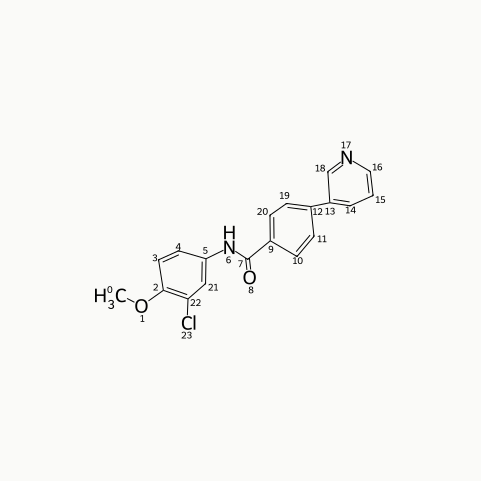 COc1ccc(NC(=O)c2ccc(-c3cccnc3)cc2)cc1Cl